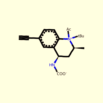 C#Cc1ccc2c(c1)[C@H](NC(=O)[O-])C[C@H](C)[N+]2(C(C)=O)C(C)(C)C